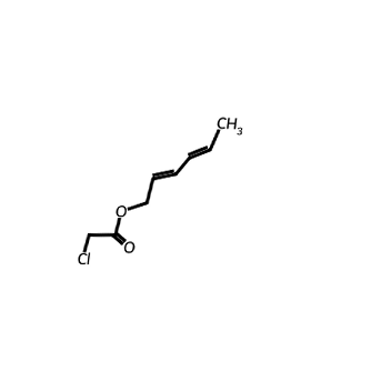 C/C=C/C=C/COC(=O)CCl